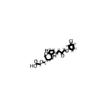 O=C(O)COC[C@H]1CC[C@H]2[C@H](CC[C@@H]2/C=C/C(=O)COc2cccc(Cl)c2)OC1